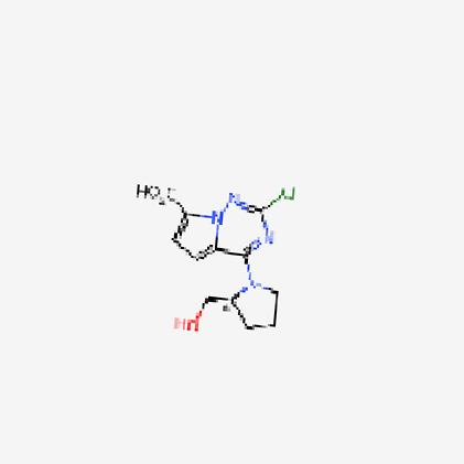 O=C(O)c1ccc2c(N3CCC[C@H]3CO)nc(Cl)nn12